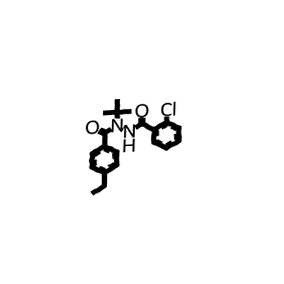 CCc1ccc(C(=O)N(NC(=O)c2ccccc2Cl)C(C)(C)C)cc1